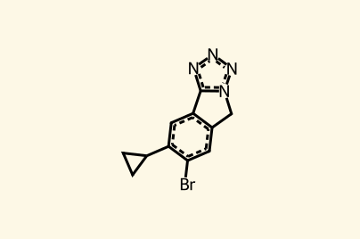 Brc1cc2c(cc1C1CC1)-c1nnnn1C2